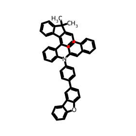 CC1(C)c2ccccc2-c2c(-c3ccccc3N(c3ccc(-c4ccc5oc6ccccc6c5c4)cc3)c3ccc4ccccc4c3)cccc21